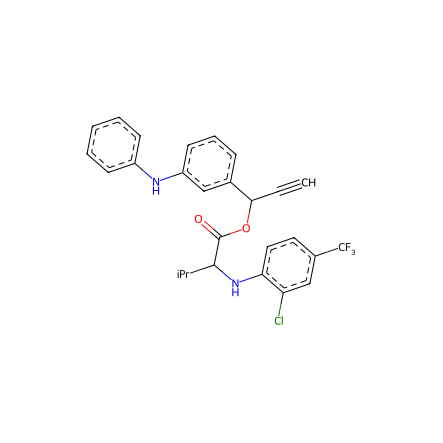 C#CC(OC(=O)C(Nc1ccc(C(F)(F)F)cc1Cl)C(C)C)c1cccc(Nc2ccccc2)c1